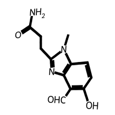 Cn1c(CCC(N)=O)nc2c(C=O)c(O)ccc21